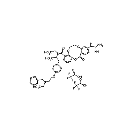 N=C(N)Nc1ccc2c(c1)CCCOc1c(cccc1C(=O)N(CC(=O)O)[C@@H](Cc1ccc(OCCN(CC(=O)O)Cc3ccccc3)cc1)C(=O)O)OC2=O.O=C(O)C(F)(F)F.O=C(O)C(F)(F)F